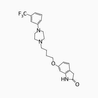 O=C1Cc2ccc(OCCCCN3CCN(c4cccc(C(F)(F)F)c4)CC3)cc2N1